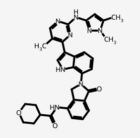 Cc1cnc(Nc2cc(C)n(C)n2)nc1-c1c[nH]c2c(N3Cc4c(NC(=O)C5CCOCC5)cccc4C3=O)cccc12